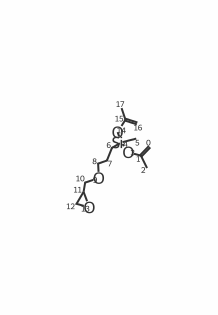 C=C(C)O[Si](C)(CCCOCC1CO1)OC(=C)C